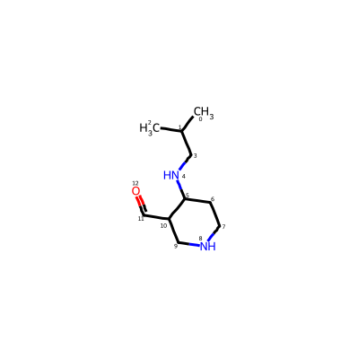 CC(C)CNC1CCNCC1C=O